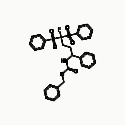 O=C(NC(CCC(F)(S(=O)(=O)c1ccccc1)S(=O)(=O)c1ccccc1)c1ccccc1)OCc1ccccc1